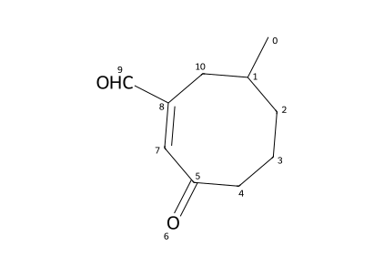 CC1CCCC(=O)C=C(C=O)C1